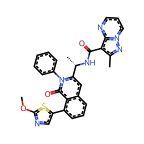 COc1ncc(-c2cccc3cc([C@H](C)NC(=O)c4c(C)nn5cccnc45)n(-c4ccccc4)c(=O)c23)s1